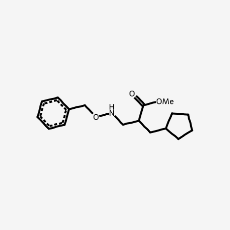 COC(=O)C(CNOCc1ccccc1)CC1CCCC1